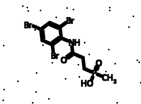 CP(=O)(O)CCC(=O)Nc1c(Br)cc(Br)cc1Br